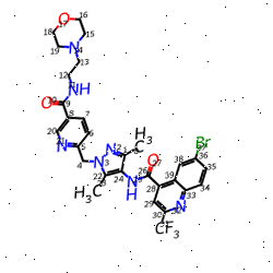 Cc1nn(Cc2ccc(C(=O)NCCN3CCOCC3)cn2)c(C)c1NC(=O)c1cc(C(F)(F)F)nc2ccc(Br)cc12